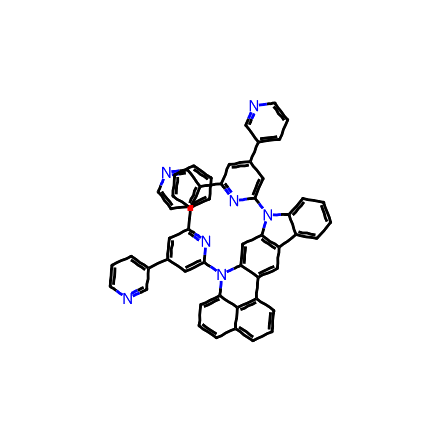 c1ccc(-c2cc(-c3cccnc3)cc(N3c4cc5c(cc4-c4cccc6cccc3c46)c3ccccc3n5-c3cc(-c4cccnc4)cc(-c4cccnc4)n3)n2)cc1